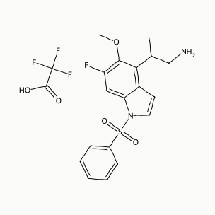 COc1c(F)cc2c(ccn2S(=O)(=O)c2ccccc2)c1C(C)CN.O=C(O)C(F)(F)F